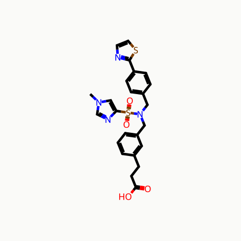 Cn1cnc(S(=O)(=O)N(Cc2ccc(-c3nccs3)cc2)Cc2cccc(CCC(=O)O)c2)c1